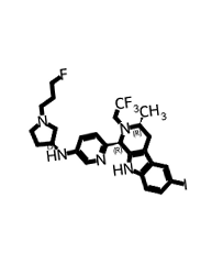 C[C@@H]1Cc2c([nH]c3ccc(I)cc23)[C@@H](c2ccc(N[C@H]3CCN(CCCF)C3)cn2)N1CC(F)(F)F